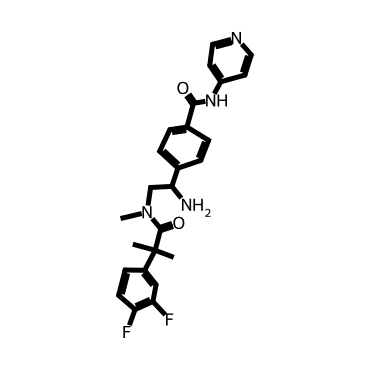 CN(CC(N)c1ccc(C(=O)Nc2ccncc2)cc1)C(=O)C(C)(C)c1ccc(F)c(F)c1